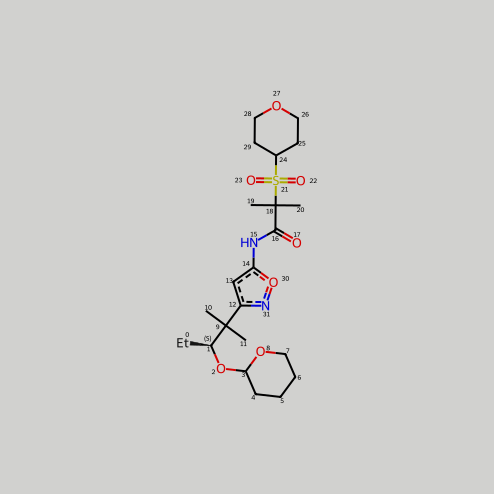 CC[C@H](OC1CCCCO1)C(C)(C)c1cc(NC(=O)C(C)(C)S(=O)(=O)C2CCOCC2)on1